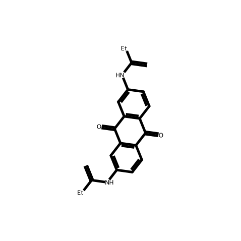 C=C(CC)Nc1ccc2c(c1)C(=O)c1cc(NC(=C)CC)ccc1C2=O